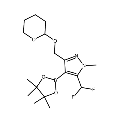 Cn1nc(COC2CCCCO2)c(B2OC(C)(C)C(C)(C)O2)c1C(F)F